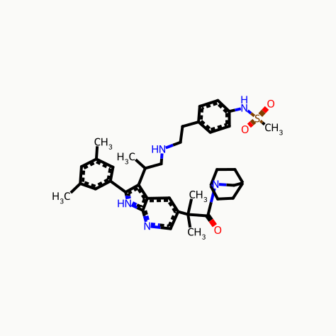 Cc1cc(C)cc(-c2[nH]c3ncc(C(C)(C)C(=O)N4CC5CCC4CC5)cc3c2C(C)CNCCc2ccc(NS(C)(=O)=O)cc2)c1